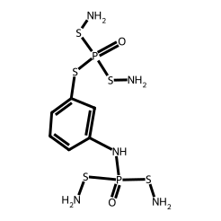 NSP(=O)(Nc1cccc(SP(=O)(SN)SN)c1)SN